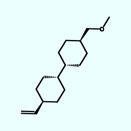 C=C[C@H]1CC[C@H]([C@H]2CC[C@H](COC)CC2)CC1